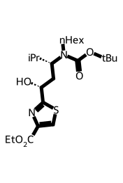 CCCCCCN(C(=O)OC(C)(C)C)[C@H](C[C@@H](O)c1nc(C(=O)OCC)cs1)C(C)C